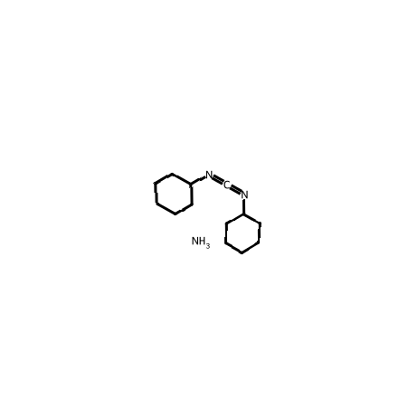 C(=NC1CCCCC1)=NC1CCCCC1.N